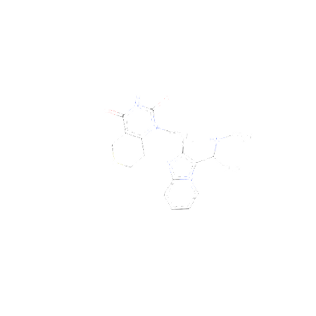 CCCn1c2c(c(=O)[nH]c1=O)CSCC2.Cc1nc2ccccn2c1C(C=O)NC(=O)O